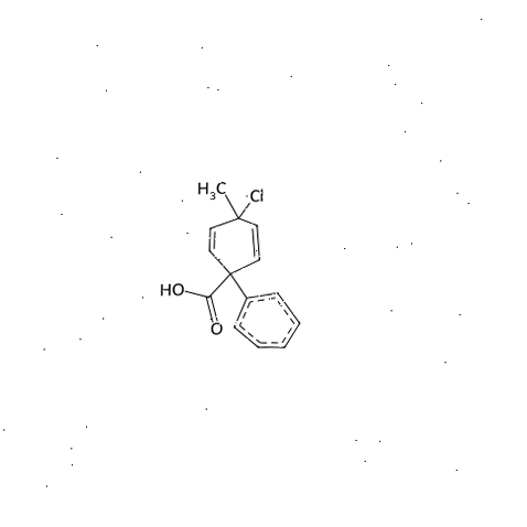 CC1(Cl)C=CC(C(=O)O)(c2ccccc2)C=C1